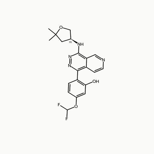 CC1(C)C[C@H](Nc2nnc(-c3ccc(OC(F)F)cc3O)c3ccncc23)CO1